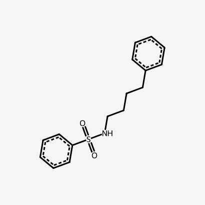 O=S(=O)(NCCCCc1ccccc1)c1ccccc1